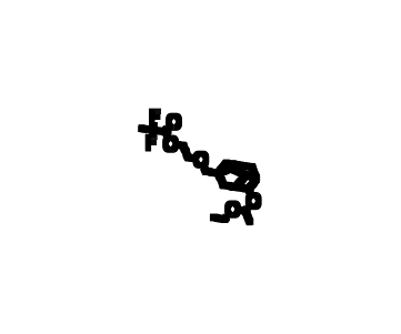 CCOC(C)OC1C2CC3CC1CC(COCCOC(=O)C(C)(F)F)(C3)C2